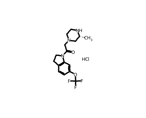 C[C@@H]1CN(CC(=O)N2CCc3ccc(OC(F)(F)F)cc32)CCN1.Cl